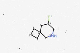 FC1CNCC2(CCC2)C1